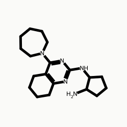 NC1CCCC1Nc1nc2c(c(N3CCCCCC3)n1)CCCC2